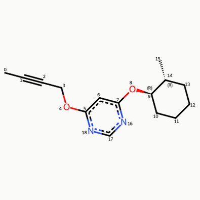 CC#CCOc1cc(O[C@@H]2CCCC[C@H]2C)ncn1